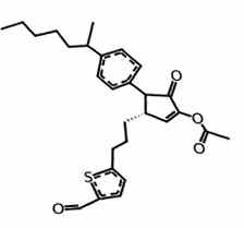 CCCCCC(C)c1ccc(C2C(=O)C(OC(C)=O)=C[C@@H]2CCCc2ccc(C=O)s2)cc1